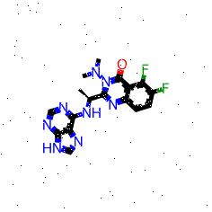 C[C@H](Nc1ncnc2[nH]cnc12)c1nc2ccc(F)c(F)c2c(=O)n1N(C)C